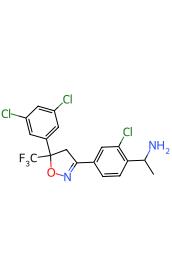 CC(N)c1ccc(C2=NOC(c3cc(Cl)cc(Cl)c3)(C(F)(F)F)C2)cc1Cl